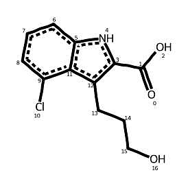 O=C(O)c1[nH]c2cccc(Cl)c2c1CCCO